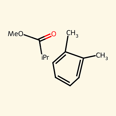 COC(=O)C(C)C.Cc1ccccc1C